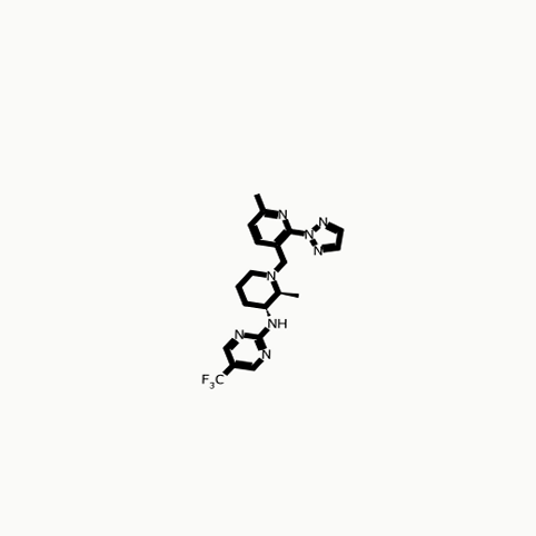 Cc1ccc(CN2CCC[C@@H](Nc3ncc(C(F)(F)F)cn3)[C@@H]2C)c(-n2nccn2)n1